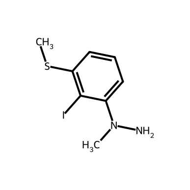 CSc1cccc(N(C)N)c1I